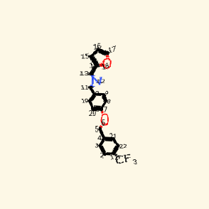 FC(F)(F)c1ccc(COc2ccc(C=NCc3ccco3)cc2)cc1